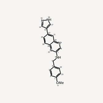 COc1ccc(CNc2cnc3cc(-c4cn[nH]c4)ccc3n2)cc1